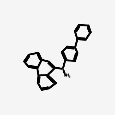 NN(c1ccc(-c2ccccc2)cc1)c1cc2ccccc2c2ccccc12